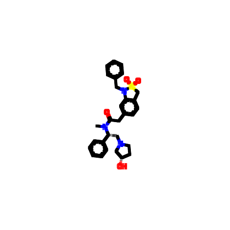 CN(C(=O)Cc1ccc2c(c1)N(Cc1ccccc1)S(=O)(=O)C2)[C@H](CN1CC[C@H](O)C1)c1ccccc1